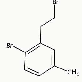 Cc1ccc(Br)c(CCBr)c1